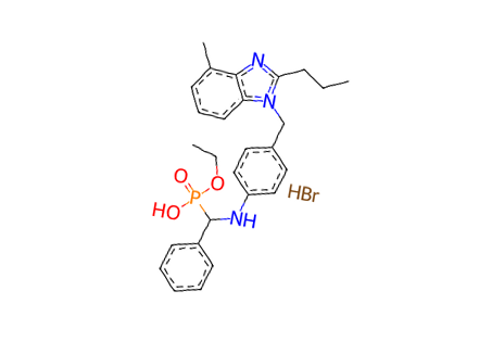 Br.CCCc1nc2c(C)cccc2n1Cc1ccc(NC(c2ccccc2)P(=O)(O)OCC)cc1